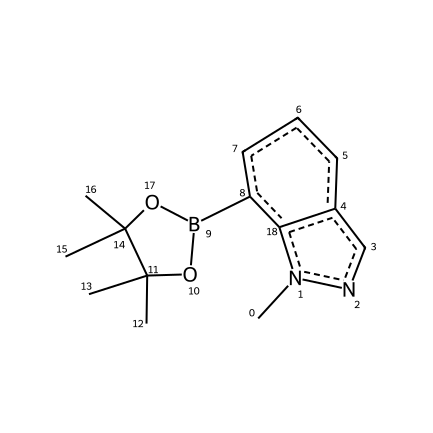 Cn1ncc2cccc(B3OC(C)(C)C(C)(C)O3)c21